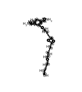 B[P@]1(=O)OC[C@H]2O[C@@H](n3cnc4c(N)ccnc43)[C@H](F)[C@@H]2O[P@@](=O)(SCc2ccc(NC(=O)CNC(=O)CCCCCn3nnc4c3-c3ccccc3CN(C(=O)CCNC(=O)CCCCC(=O)NCC(=O)Nc3ccc(COC(=O)NCCCOCC(O)COP(C)(=O)O)cc3)c3ccccc3-4)cc2)OC[C@H]2O[C@@H](n3cnc4c(N)ncnc43)[C@H](F)[C@@H]2O1